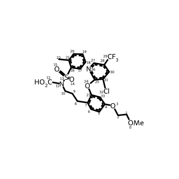 COCCOc1ccc(CCCN(C(=O)O)S(=O)(=O)c2ccccc2C)c(Oc2ncc(C(F)(F)F)cc2Cl)c1